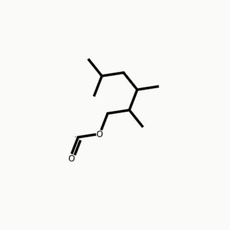 CC(C)CC(C)C(C)CO[C]=O